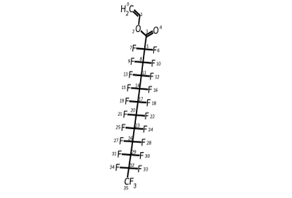 C=COC(=O)C(F)(F)C(F)(F)C(F)(F)C(F)(F)C(F)(F)C(F)(F)C(F)(F)C(F)(F)C(F)(F)C(F)(F)C(F)(F)F